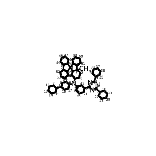 CC12C=CC(N(c3ccc(-c4ccccc4)cc3)c3cccc(-c4nc(-c5ccccc5)nc(-c5ccccc5)n4)c3)=CC1C1(c3ccccc3-c3ccccc31)c1ccccc12